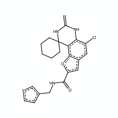 C=C1Nc2c(Cl)cc3cc(C(=O)NCc4ccsc4)oc3c2C2(CCCCC2)N1